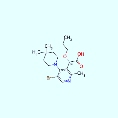 CCCO[C@H](C(=O)O)c1c(C)ncc(Br)c1N1CCC(C)(C)CC1